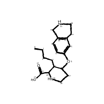 CCCCC1C(Oc2ccc3c(c2)CCNC3)CCNC1C(=O)O